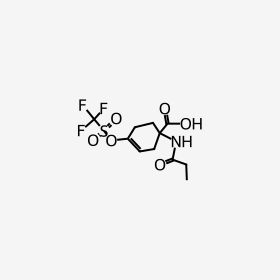 CCC(=O)NC1(C(=O)O)CC=C(OS(=O)(=O)C(F)(F)F)CC1